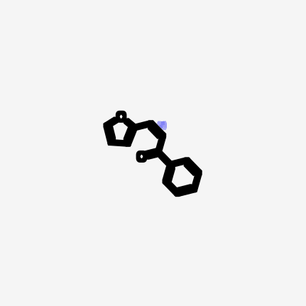 O=C(/C=C\c1ccco1)c1ccccc1